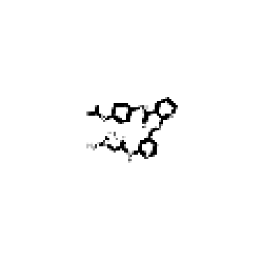 CN(C)CC(=O)Nc1cc(CSc2ncccc2C(=O)Nc2ccc(OC(F)F)cc2)ccn1